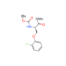 COC(=O)[C@@H](COc1ccccc1F)NC(=O)OC(C)(C)C